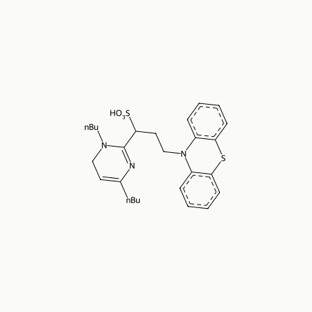 CCCCC1=CCN(CCCC)C(C(CCN2c3ccccc3Sc3ccccc32)S(=O)(=O)O)=N1